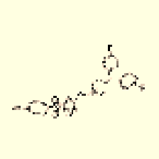 C#Cc1ccc(S(=O)(=O)n2cc(CCN3CCC(=C(c4ccc(F)cc4)c4ccc(F)cc4)CC3)nn2)cc1